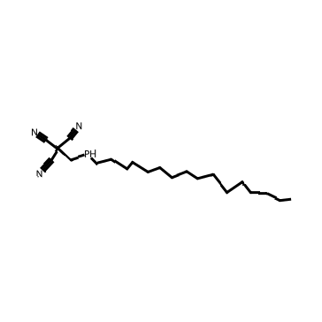 CCCCCCCCCCCCCCCCPCC(C#N)(C#N)C#N